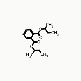 CCC(C)OC(=O)c1c[c]ccc1C(=O)OC(C)CC